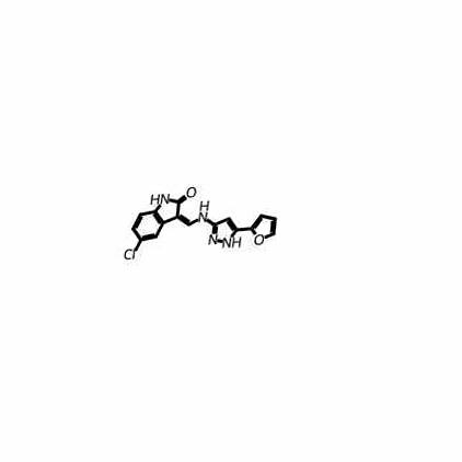 O=C1Nc2ccc(Cl)cc2/C1=C/Nc1cc(-c2ccco2)[nH]n1